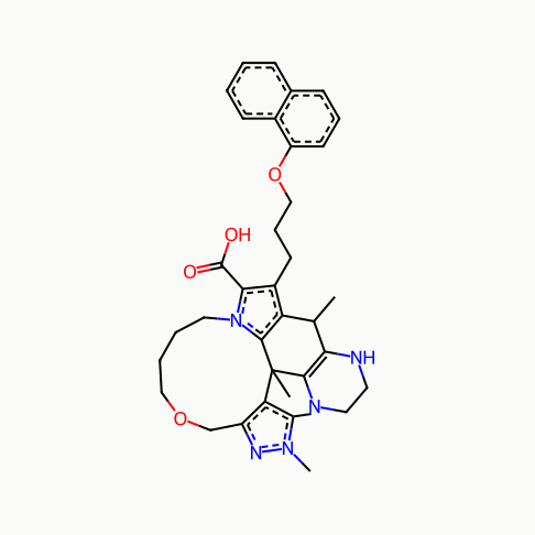 CC1C2=C3N(CCN2)Cc2c4c(nn2C)COCCCCn2c(C(=O)O)c(CCCOc5cccc6ccccc56)c1c2C34C